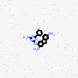 Nc1ccc2c(c1)Cc1cc(N)ccc1-2.Nc1nc(N)nc(C2=CC=CC(F)(F)C2)n1